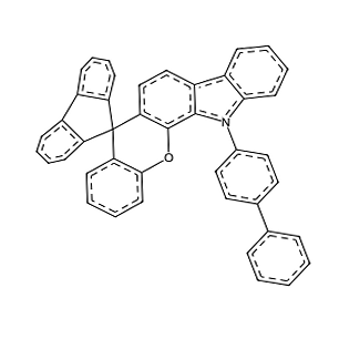 c1ccc(-c2ccc(-n3c4ccccc4c4ccc5c(c43)Oc3ccccc3C53c4ccccc4-c4ccccc43)cc2)cc1